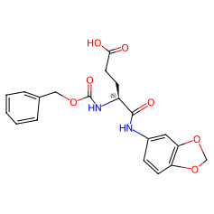 O=C(O)CC[C@H](NC(=O)OCc1ccccc1)C(=O)Nc1ccc2c(c1)OCO2